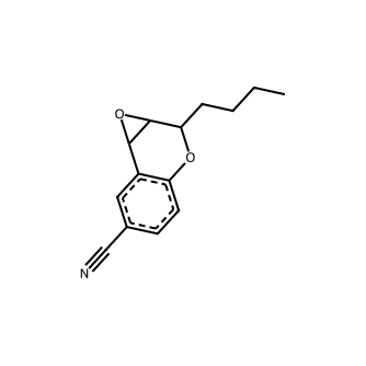 CCCCC1Oc2ccc(C#N)cc2C2OC12